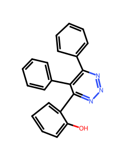 Oc1ccccc1-c1nnnc(-c2ccccc2)c1-c1ccccc1